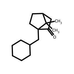 CC1(C)C2CCC1(C[C]1CCCCC1)C(=O)C2